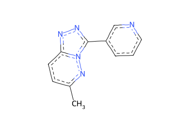 Cc1ccc2nnc(-c3cccnc3)n2n1